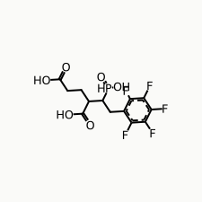 O=C(O)CCC(C(=O)O)C(Cc1c(F)c(F)c(F)c(F)c1F)[PH](=O)O